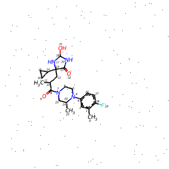 Cc1cc(N2CCN(C(=O)C(C)CC3(C4CC4)NC(O)NC3=O)C[C@@H]2C)ccc1F